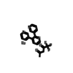 CC(=O)CC(=O)C(F)(F)F.[Eu].c1cncc(-c2cccnc2-c2cccnc2)c1